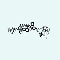 COC(=O)c1cc2c3c(ccc2cc1N(C)CCCN(C)C)OC(c1ccccc1)(c1ccc(N(CCCN(C)C)CCCN(C)C)cc1)C=C3